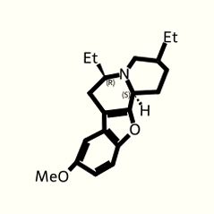 CCC1CC[C@H]2c3oc4ccc(OC)cc4c3C[C@@H](CC)N2C1